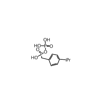 CC(C)c1ccc(CP(=O)(O)OP(=O)(O)O)cc1